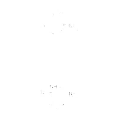 CC1(C)O[C@@H](C(N)=O)[C@H](c2ncc(-c3ccc(-c4ccc(-c5coc([C@@H]6OC(C)(C)O[C@H]6C(N)=O)n5)cc4)cc3)[nH]2)O1